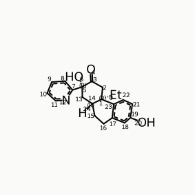 CC[C@@]12CC(=O)[C@](O)(c3ccccn3)C[C@H]1CCc1cc(O)ccc12